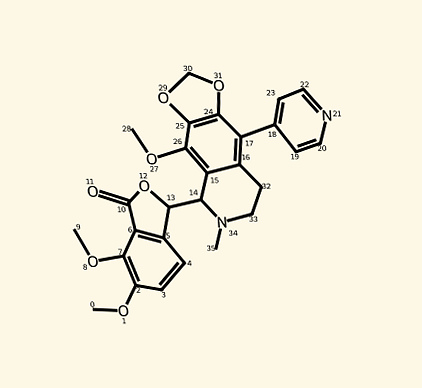 COc1ccc2c(c1OC)C(=O)OC2C1c2c(c(-c3ccncc3)c3c(c2OC)OCO3)CCN1C